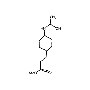 COC(=O)CCC1CCC(NC(C)O)CC1